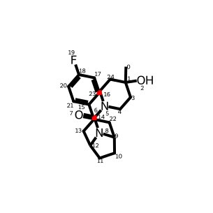 CC1(O)CCN(C(=O)N2C3CCC2CC(c2ccc(F)cc2)C3)CC1